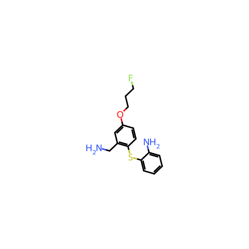 NCc1cc(OCCCF)ccc1Sc1ccccc1N